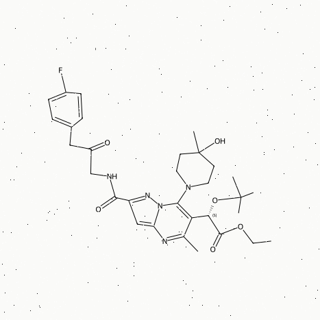 CCOC(=O)[C@@H](OC(C)(C)C)c1c(C)nc2cc(C(=O)NCC(=O)Cc3ccc(F)cc3)nn2c1N1CCC(C)(O)CC1